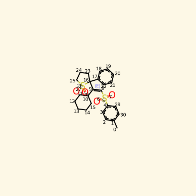 Cc1ccc(S(=O)(=O)/C=C(\C2CCCCC2)C2(c3ccccc3)CCCS2(=O)=O)cc1